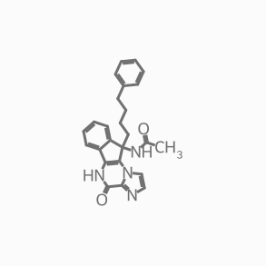 CC(=O)NC1(CCCCc2ccccc2)c2ccccc2-c2[nH]c(=O)c3nccn3c21